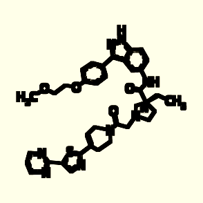 CC[C@@]1(C(=O)Nc2ccc3[nH]nc(-c4ccc(OCCOC)cc4)c3c2)CCN(CC(=O)N2CC=C(c3ncc(-c4ncccn4)s3)CC2)C1